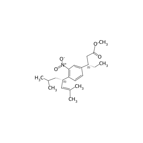 CC[C@@H](CC(=O)OC)c1ccc([C@H](C=C(C)C)CC(C)C)c([N+](=O)[O-])c1